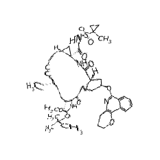 CC[C@@H]1C[C@H](C)CC/C=C\[C@@H]2C[C@@]2(C(=O)NS(=O)(=O)C2(C)CC2)NC(=O)[C@@H]2C[C@@H](Oc3nc4c(c5ccccc35)OCCC4)CN2C(=O)[C@H]1NC(=O)OC(C)(C)C